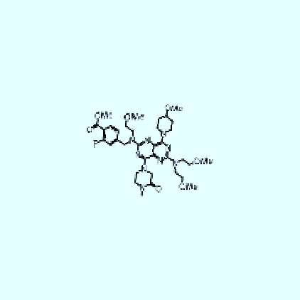 COCCN(Cc1ccc(C(=O)OC)c(F)c1)c1nc(N2CCN(C)C(=O)C2)c2nc(N(CCOC)CCOC)nc(N3CCC(OC)CC3)c2n1